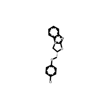 Clc1ccc(OC[C@@H]2Cn3c(nc4ccccc43)O2)cc1